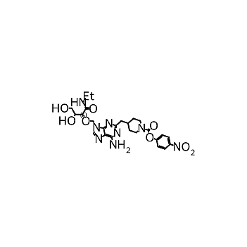 CCNC(=O)[C@@H](OCn1cnc2c(N)nc(CC3CCN(C(=O)Oc4ccc([N+](=O)[O-])cc4)CC3)nc21)C(O)CO